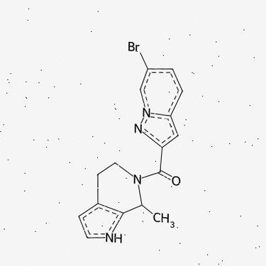 CC1c2[nH]ccc2CCN1C(=O)c1cc2ccc(Br)cn2n1